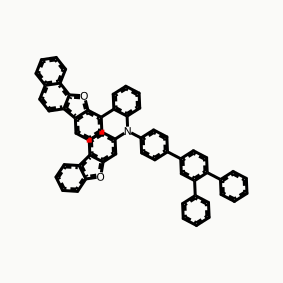 c1ccc(-c2ccc(-c3ccc(N(c4ccc5c(c4)oc4ccccc45)c4ccccc4-c4cccc5c4oc4c6ccccc6ccc54)cc3)cc2-c2ccccc2)cc1